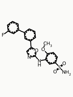 COc1ccc(S(N)(=O)=O)cc1Nc1ncc(-c2cccc(-c3cccc(F)c3)c2)o1